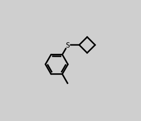 Cc1cccc(SC2CCC2)c1